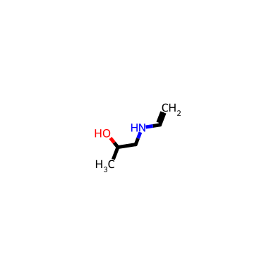 C=CNCC(C)O